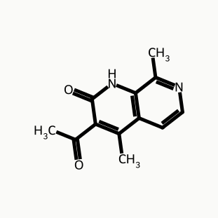 CC(=O)c1c(C)c2ccnc(C)c2[nH]c1=O